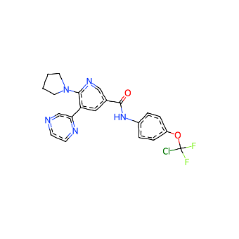 O=C(Nc1ccc(OC(F)(F)Cl)cc1)c1cnc(N2CCCC2)c(-c2cnccn2)c1